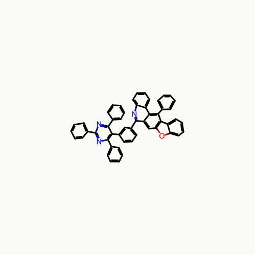 c1ccc(-c2nc(-c3ccccc3)c(-c3cccc(-c4nc5ccccc5c5c(-c6ccccc6)c6c(cc45)oc4ccccc46)c3)c(-c3ccccc3)n2)cc1